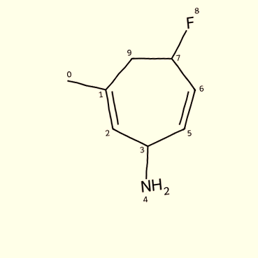 CC1=CC(N)C=CC(F)C1